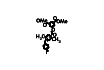 COC(=O)c1cc(OCC(=O)N2C[C@@H](C)N(Cc3ccc(F)cc3)C[C@@H]2C)cc(C(=O)OC)c1